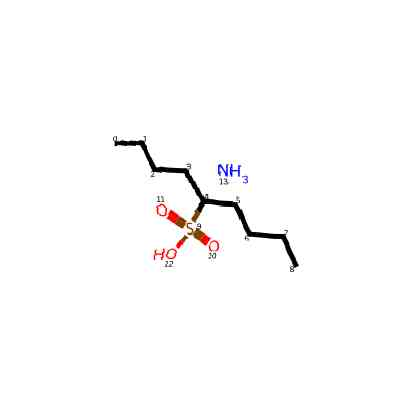 CCCCC(CCCC)S(=O)(=O)O.N